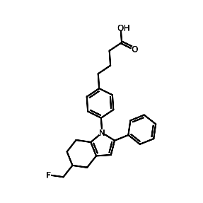 O=C(O)CCCc1ccc(-n2c(-c3ccccc3)cc3c2CCC(CF)C3)cc1